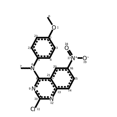 COc1ccc(N(C)c2nc(Cl)nc3ccc([N+](=O)[O-])cc23)cc1